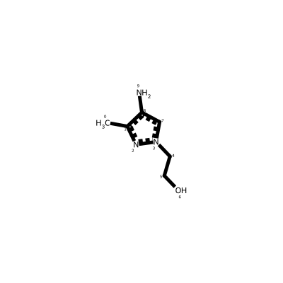 Cc1nn(CCO)cc1N